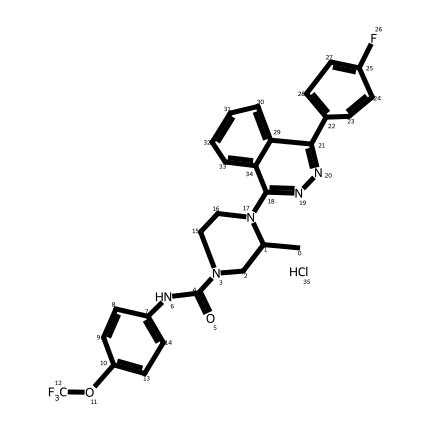 CC1CN(C(=O)Nc2ccc(OC(F)(F)F)cc2)CCN1c1nnc(-c2ccc(F)cc2)c2ccccc12.Cl